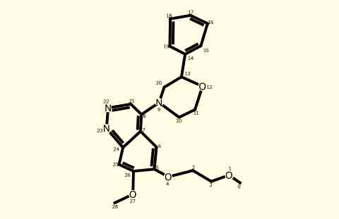 COCCOc1cc2c(N3CCOC(c4ccccc4)C3)cnnc2cc1OC